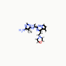 Cc1ccn2nc(C(C)Nc3ncnc(N)c3C#N)nc(CCN3CCOCC3)c12